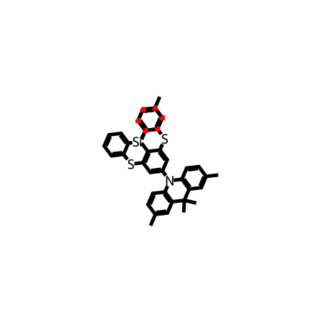 Cc1ccc([Si]23c4ccccc4Sc4cc(N5c6ccc(C)cc6C(C)(C)c6cc(C)ccc65)cc(c42)Sc2ccccc23)cc1